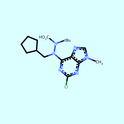 Cn1cnc2c(N(CC3CCCC3)N(C(=O)O)C(C)(C)C)nc(Cl)nc21